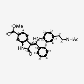 COC(=O)c1ccc2c(c1)NC(=O)/C2=C(/Nc1ccc(CCNC(C)=O)cc1)c1ccccc1